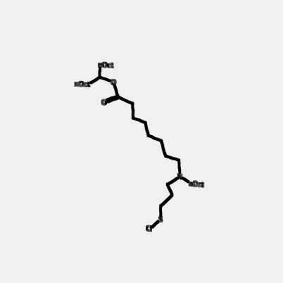 CCCCCCCCC(CCCCCCCC)OC(=O)CCCCCCCN(CCCCCCCC)CCCSCl